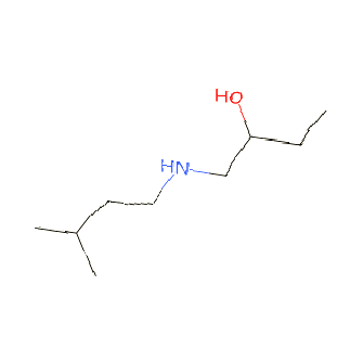 CCC(O)CNCCC(C)C